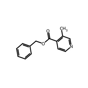 Cc1cnccc1C(=O)OCc1ccccc1